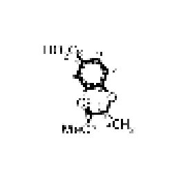 COC(=O)[C@@H](C)Oc1ccc(C(=O)O)cc1